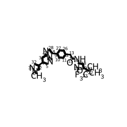 Cn1cc(-c2cnn3c(-c4ccc(CC(=O)Nc5cc(C(C)(C)C(F)(F)F)on5)cc4)cnc3c2)cn1